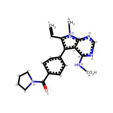 C=Cc1c(-c2ccc(C(=O)N3CCCC3)cc2)c2c(NC(=O)O)ncnc2n1C